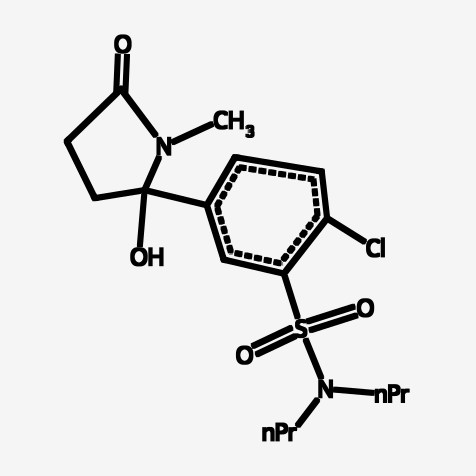 CCCN(CCC)S(=O)(=O)c1cc(C2(O)CCC(=O)N2C)ccc1Cl